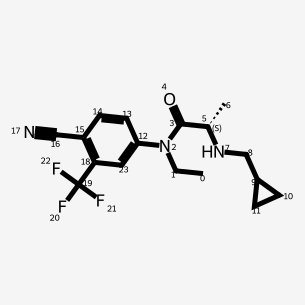 CCN(C(=O)[C@H](C)NCC1CC1)c1ccc(C#N)c(C(F)(F)F)c1